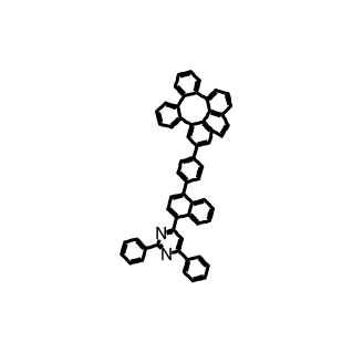 c1ccc(-c2cc(-c3ccc(-c4ccc(-c5cc6ccc7cccc8c9ccccc9c9ccccc9c(c5)c6c78)cc4)c4ccccc34)nc(-c3ccccc3)n2)cc1